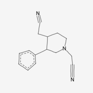 N#CCC1CCN(CC#N)CC1c1ccccc1